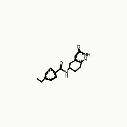 CCc1ccc(C(=O)NC2CCc3n[nH]c(=O)cc3C2)cc1